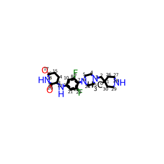 CC1(CN2CCN(c3c(F)cc(NC4CCC(=O)NC4=O)cc3F)CC2)CCNCC1